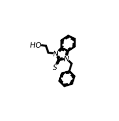 OCCn1c(=S)n(Cc2ccccc2)c2ccccc21